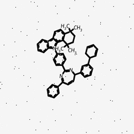 CC1(C)CCC(C)(C)c2c1ccc1c3ccccc3n(-c3ccc(C4=NC(c5cccc(C6C=CC=CC6)c5)C=CC(c5ccccc5)=N4)cc3)c21